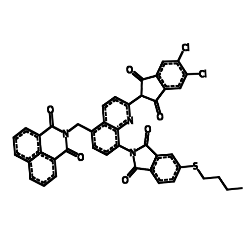 CCCCSc1ccc2c(c1)C(=O)N(c1ccc(CN3C(=O)c4cccc5cccc(c45)C3=O)c3ccc(C4C(=O)c5cc(Cl)c(Cl)cc5C4=O)nc13)C2=O